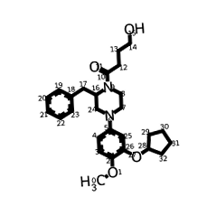 COc1ccc(N2CCN(C(=O)CCCO)C(Cc3ccccc3)C2)cc1OC1CCCC1